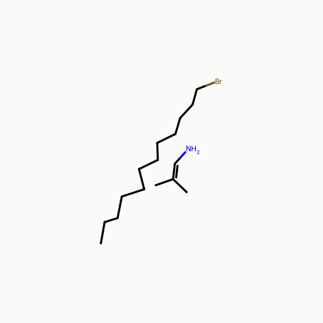 CC(C)=CN.CCCCCCCCCCCCBr